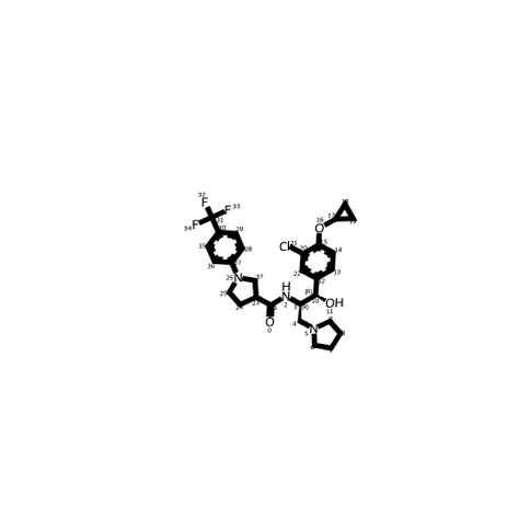 O=C(N[C@H](CN1CCCC1)[C@H](O)c1ccc(OC2CC2)c(Cl)c1)C1CCN(c2ccc(C(F)(F)F)cc2)C1